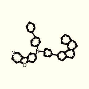 c1ccc(-c2ccc(N(c3ccc(-c4ccc5ccc6ccc7ccccc7c6c5c4)cc3)c3ccc4oc5ccncc5c4c3)cc2)cc1